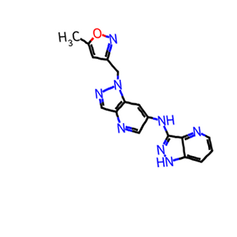 Cc1cc(Cn2ncc3ncc(Nc4n[nH]c5cccnc45)cc32)no1